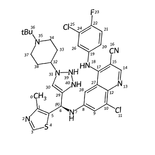 Cc1ncsc1[C@H](Nc1cc(Cl)c2ncc(C#N)c(Nc3ccc(F)c(Cl)c3)c2c1)C1=CN(C2CCN(C(C)(C)C)CC2)NN1